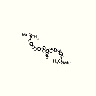 COC(C)CCOc1ccc(OCOc2ccc(C(=O)Oc3ccc(OC(=O)c4ccc(Oc5ccc(OCCC(C)OC)cc5)cc4)c4sc(=S)sc34)cc2)cc1